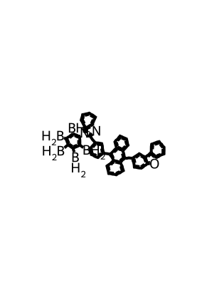 Bc1c(B)c(B)c(-n2c(-c3cccc(-c4c5ccccc5c(-c5ccc6oc7ccccc7c6c5)c5ccccc45)c3)nc3ccccc32)c(B)c1B